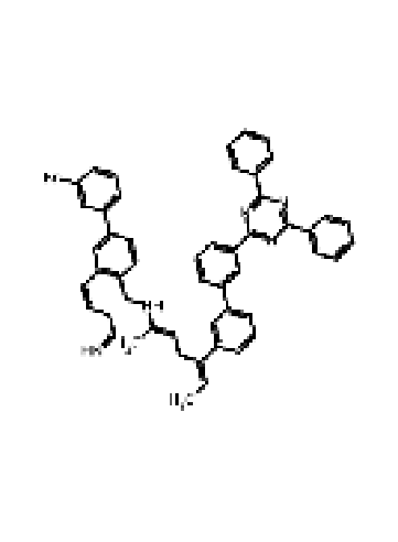 C/C=C(\C/C=C(\C)NCc1ccc(-c2cccc(Br)c2)cc1/C=C\CC=N)c1cccc(-c2cccc(-c3nc(-c4ccccc4)nc(-c4ccccc4)n3)c2)c1